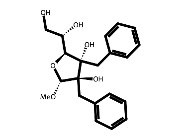 CO[C@@H]1O[C@@H]([C@@H](O)CO)[C@@](O)(Cc2ccccc2)[C@]1(O)Cc1ccccc1